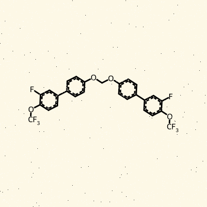 Fc1cc(-c2ccc(OCOc3ccc(-c4ccc(OC(F)(F)F)c(F)c4)cc3)cc2)ccc1OC(F)(F)F